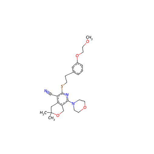 COCCOc1cccc(CCSc2nc(N3CCOCC3)c3c(c2C#N)CC(C)(C)OC3)c1